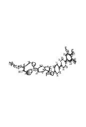 CCCCCC1COC(C2CCC(C(F)(F)OC3CCC(C4CCC(c5cc(F)c(F)c(F)c5)CC4)CC3)CC2)OC1